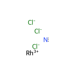 [Cl-].[Cl-].[Cl-].[N].[Rh+3]